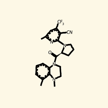 Cc1cc(C(F)(F)F)c(C#N)c(N2CCC[C@H]2C(=O)N2CCN(C)c3c(C)cccc32)n1